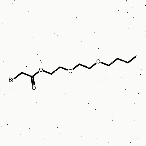 CCCCOCCOCCOC(=O)CBr